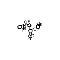 CC(C)(C)OC(=O)N1CC[C@@H](c2ccc(F)c(C(=O)NCc3ccccc3C(F)(F)F)c2)[C@@H](COc2ccc3c(c2)OCO3)C1